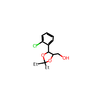 CCC1(CC)OC(CO)C(c2ccccc2Cl)O1